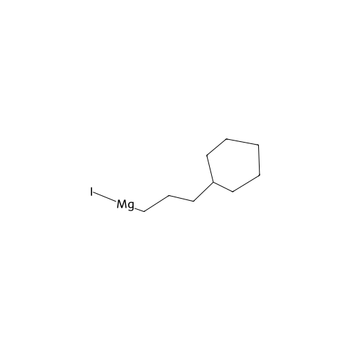 [I][Mg][CH2]CCC1CCCCC1